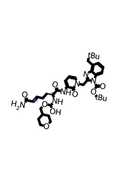 CC(C)(C)Cc1cccc2c1nc(Cn1cccc(NC(=O)[C@H](CC/C=C/C(N)=O)NC(O)OCC3CCOCC3)c1=O)n2C(=O)OC(C)(C)C